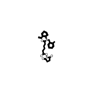 C=Cc1ccccc1N(Cc1ccccc1C)C(=O)CCCCC(=O)ON1C(=O)CCC1=O